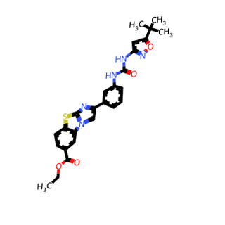 CCOC(=O)c1ccc2sc3nc(-c4cccc(NC(=O)Nc5cc(C(C)(C)C)on5)c4)cn3c2c1